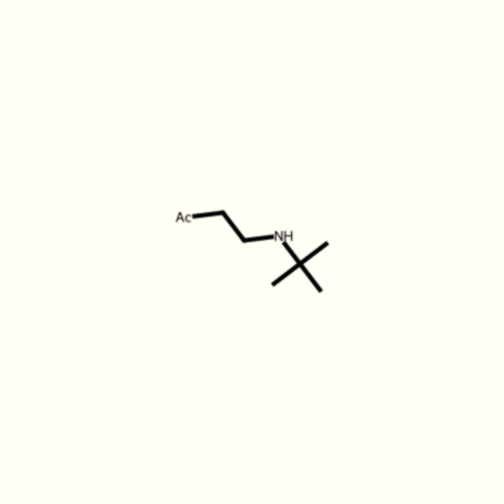 CC(=O)CCNC(C)(C)C